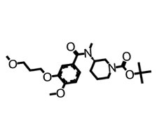 COCCCOc1cc(C(=O)N(C)[C@@H]2CCCN(C(=O)OC(C)(C)C)C2)ccc1OC